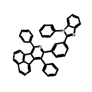 c1ccc(-c2nc(-c3cccc(-c4nc5ccccc5n4-c4ccccc4)c3)c(-c3ccccc3)c3c2-c2cccc4cccc-3c24)cc1